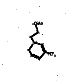 COCCN1C=C(C(F)(F)F)C=CC1